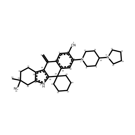 C=C1c2cc(C#N)c(N3CCC(N4CCCC4)CC3)cc2C2(CCCCC2)c2[nH]c3c(c21)CCC(C)(C#N)C3